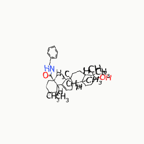 C[C@H]1[C@H](C)CC[C@]2(C(=O)NCc3ccccc3)CC[C@]3(C)C(=CC[C@@H]4[C@@]5(C)CC[C@H](O)C(C)(C)[C@@H]5CC[C@]43C)[C@H]12